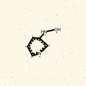 ONc1[c]nccc1